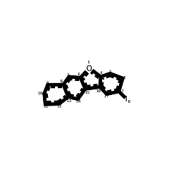 Ic1ccc2oc3cc4ccccc4cc3c2c1